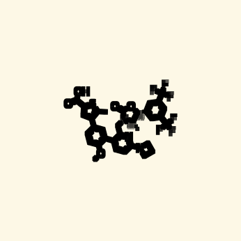 COc1ccc(-c2cc(C(=O)O)sc2C)cc1-c1ccc(N2CCC2)nc1CN1C(=O)O[C@H](c2cc(C(F)(F)F)cc(C(F)(F)F)c2)[C@@H]1C